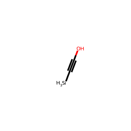 OC#C[SiH3]